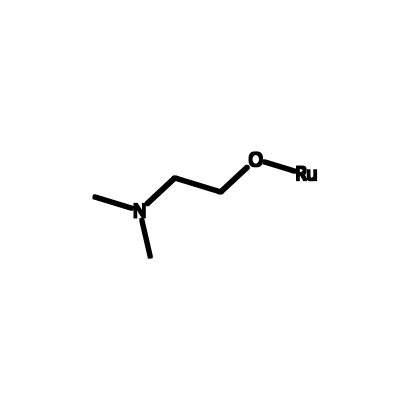 CN(C)CC[O][Ru]